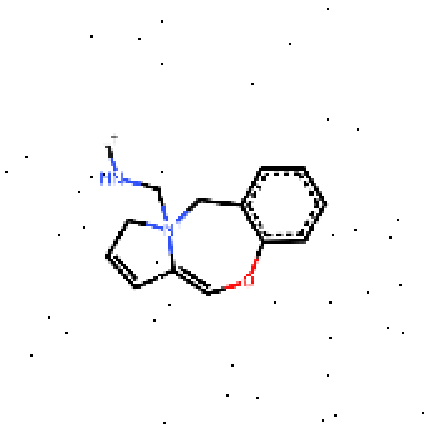 CCNC[N+]12CC=CC1=COc1ccccc1C2